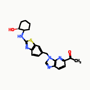 CC(=O)c1ccc2ncn(Cc3ccc4nc(N[C@@H]5CCCC[C@H]5O)sc4c3)c2n1